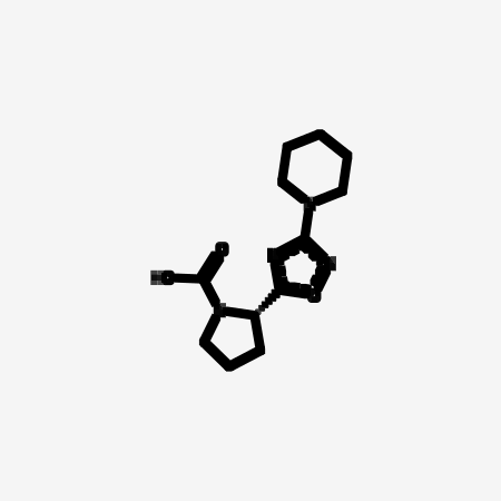 O=C(O)N1CCC[C@H]1c1nc(N2CCCCC2)no1